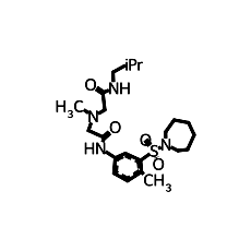 Cc1ccc(NC(=O)CN(C)CC(=O)NCC(C)C)cc1S(=O)(=O)N1CCCCCC1